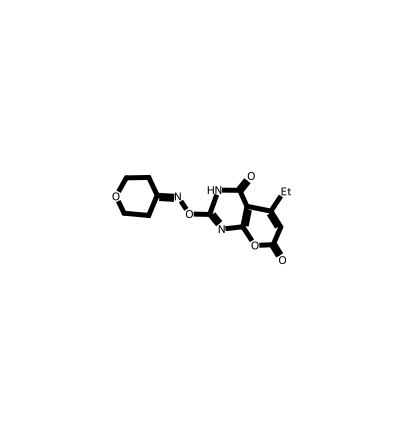 CCc1cc(=O)oc2nc(ON=C3CCOCC3)[nH]c(=O)c12